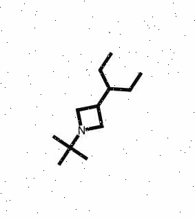 CCC(CC)C1CN(C(C)(C)C)C1